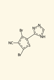 N#Cc1c(Br)sc(-c2nnc[nH]2)c1Br